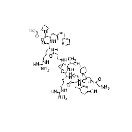 CC(C)[C@@H](NC(=O)[C@H](CCCNC(=N)N)NC(=O)[C@@H](Cc1ccc(O)cc1)NC(=O)[C@@H]1CCCN1C(=O)CNC(=O)CN)C(=O)NCCC(=O)N[C@@H](CCCNC(=N)N)C(=O)N[C@H](Cc1ccc2ccccc2c1)C(=O)N1CCC[C@H]1C(=O)O